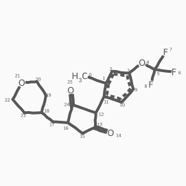 Cc1cc(OC(F)(F)F)ccc1C1C(=O)CC(CC2CCOCC2)C1=O